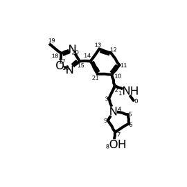 CNC(CN1CCC(O)C1)c1cccc(-c2noc(C)n2)c1